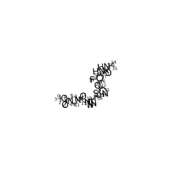 CC(C)(C)OC(=O)N1CCN(C(=O)Cn2cc(-c3cc4nccc(Oc5ccc(NC(=O)NC6CC6)cc5F)c4s3)nn2)CC1